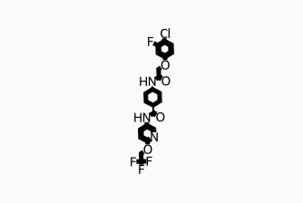 O=C(COc1ccc(Cl)c(F)c1)N[C@H]1CC[C@H](C(=O)Nc2ccc(OCC(F)(F)F)nc2)CC1